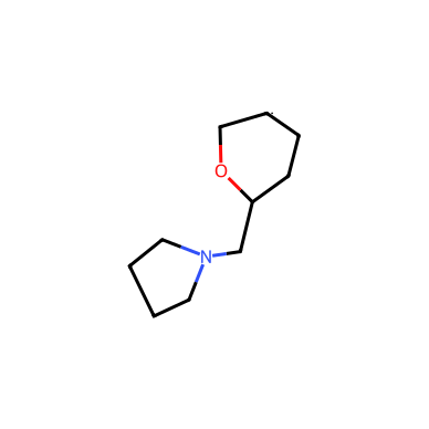 [CH]1CCC(CN2CCCC2)OC1